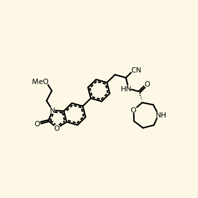 COCCn1c(=O)oc2ccc(-c3ccc(CC(C#N)NC(=O)[C@@H]4CNCCCO4)cc3)cc21